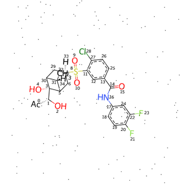 CC(=O)[C@@H](O)[C@]1(O)C2C[C@H](S(=O)(=O)c3cc(C(=O)Nc4ccc(F)c(F)c4)ccc3Cl)CC1[C@@H]2C